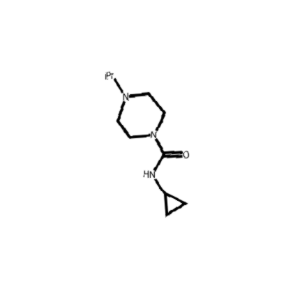 CC(C)N1CCN(C(=O)NC2CC2)CC1